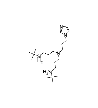 CC(C)(C)[SiH2]CCCN(CCC[SiH2]C(C)(C)C)CCCn1ccnc1